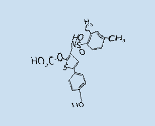 Cc1ccc(S(=O)(=O)Nc2cc(-c3ccc(CO)cc3)sc2OC(=O)O)c(C)c1